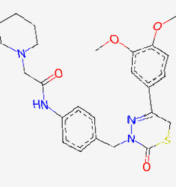 COc1ccc(C2=NN(Cc3ccc(NC(=O)CN4CCCCC4)cc3)C(=O)SC2)cc1OC